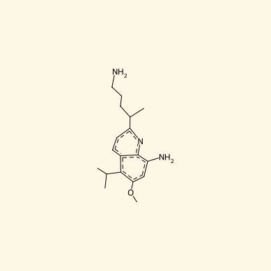 COc1cc(N)c2nc(C(C)CCCN)ccc2c1C(C)C